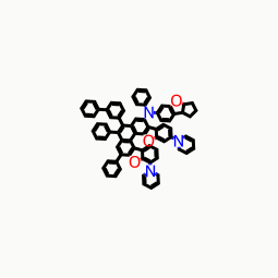 C1=CCN(c2ccc3c(c2)oc2c3c(N(c3ccccc3)c3ccc4c(c3)OC3CCCC43)cc3c(-c4cccc(-c5ccccc5)c4)c(-c4ccccc4)c4cc(-c5ccccc5)c5oc6c(N7C=CC=CC7)cccc6c5c4c32)C=C1